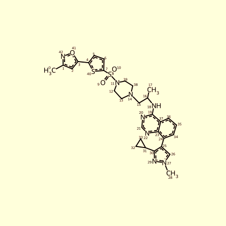 Cc1cc(-c2ccc(S(=O)(=O)N3CCN(CC(C)Nc4ncnc5c(-c6cn(C)nc6C6CC6)cccc45)CC3)s2)on1